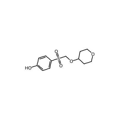 O=S(=O)(COC1CCOCC1)c1ccc(O)cc1